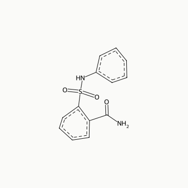 NC(=O)c1ccccc1S(=O)(=O)Nc1ccccc1